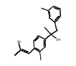 CC(=O)/C(C)=C\c1ccc(C(C)(C#N)Cc2cccc(I)c2)cc1C